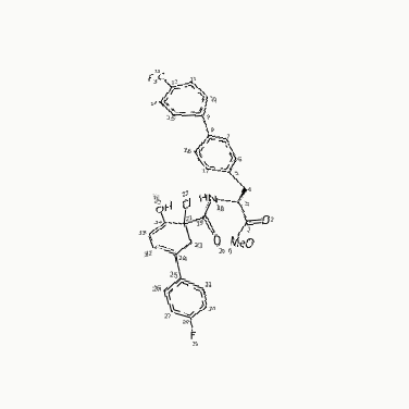 COC(=O)[C@H](Cc1ccc(-c2ccc(C(F)(F)F)cc2)cc1)NC(=O)C1(Cl)CC(c2ccc(F)cc2)=CC=C1O